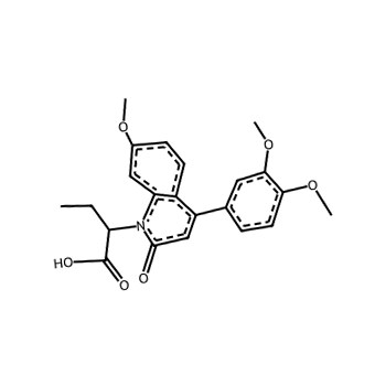 CCC(C(=O)O)n1c(=O)cc(-c2ccc(OC)c(OC)c2)c2ccc(OC)cc21